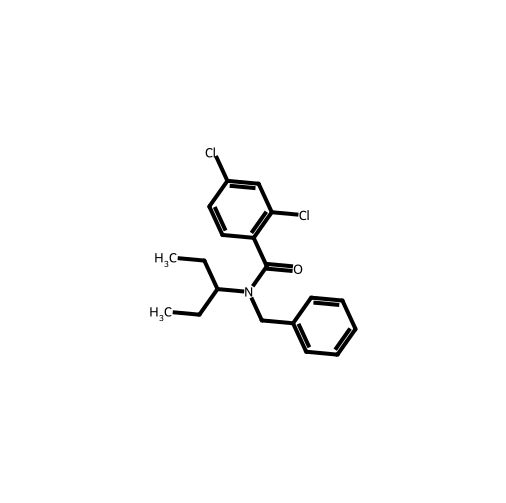 CCC(CC)N(Cc1ccccc1)C(=O)c1ccc(Cl)cc1Cl